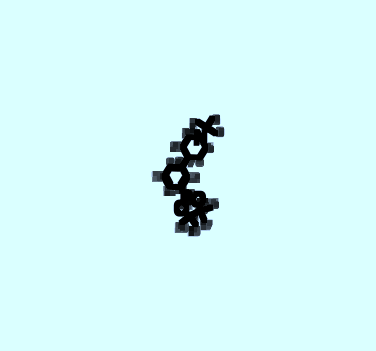 CC(C)(C)N1CCC(c2cccc(B3OC(C)(C)C(C)(C)O3)c2)CC1